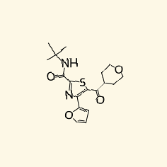 CC(C)(C)NC(=O)c1nc(-c2ccco2)c(C(=O)C2CCOCC2)s1